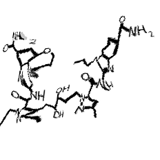 CCCn1c(NC(=O)c2cc(C)nn2CCC(O)C(O)Cc2c(C)nn(CC)c2C(=O)Nc2nc3cc(C(N)=O)cc4c3n2CCO4)nc2cc(C(N)=O)ccc21